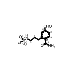 CCS(=O)(=O)NCCCc1cc(C=O)ccc1C(N)=O